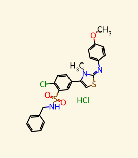 COc1ccc(N=c2scc(-c3ccc(Cl)c(S(=O)(=O)NCc4ccccc4)c3)n2C)cc1.Cl